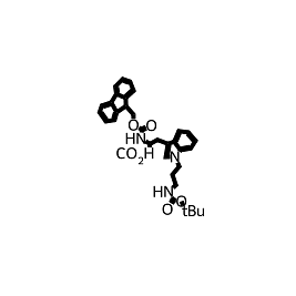 CC(C)(C)OC(=O)NCCCn1cc(CC(NC(=O)OCC2c3ccccc3-c3ccccc32)C(=O)O)c2ccccc21